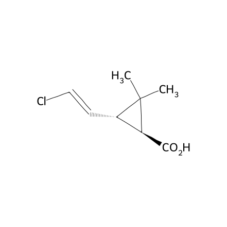 CC1(C)[C@@H](C=CCl)[C@@H]1C(=O)O